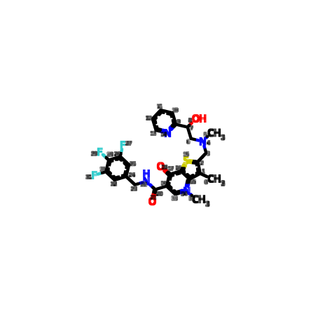 Cc1c(CN(C)CC(O)c2ccccn2)sc2c(=O)c(C(=O)NCc3cc(F)c(F)c(F)c3)cn(C)c12